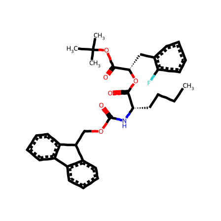 CCCC[C@H](NC(=O)OCC1c2ccccc2-c2ccccc21)C(=O)O[C@@H](Cc1ccccc1F)C(=O)OC(C)(C)C